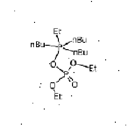 CCCCP(CC)(CCCC)(CCCC)OP(=O)(OCC)OCC